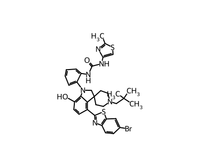 Cc1nc(NC(=O)Nc2ccccc2N2CC3(CCN(CC(C)(C)C)CC3)c3c(-c4nc5ccc(Br)cc5s4)ccc(O)c32)cs1